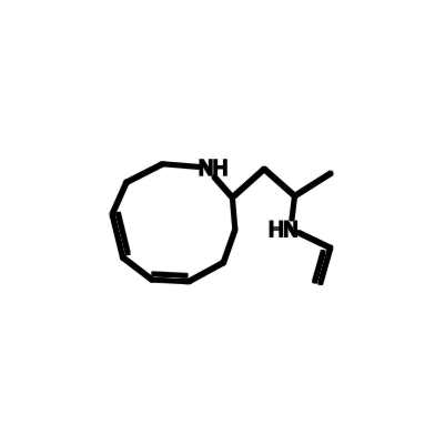 C=CNC(C)CC1CC/C=C\C=C/CCN1